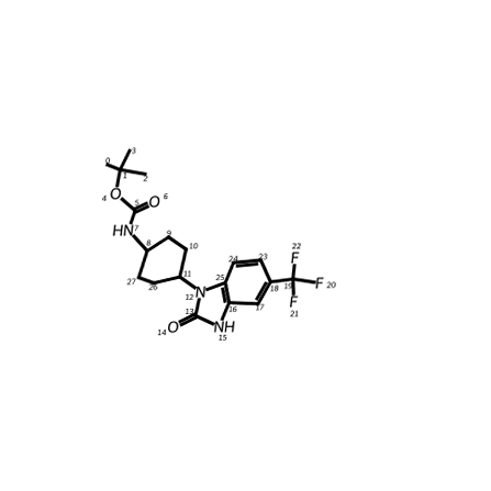 CC(C)(C)OC(=O)NC1CCC(n2c(=O)[nH]c3cc(C(F)(F)F)ccc32)CC1